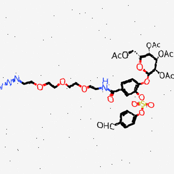 CC(=O)OC[C@H]1OC(Oc2ccc(C(=O)NCCOCCOCCOCCN=[N+]=[N-])cc2OS(=O)(=O)Oc2ccc(C=O)cc2)[C@H](OC(C)=O)[C@@H](OC(C)=O)[C@H]1OC(C)=O